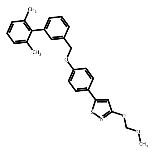 COCOc1cc(-c2ccc(OCc3cccc(-c4c(C)cccc4C)c3)cc2)sn1